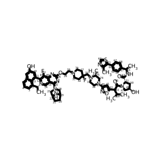 CCc1cccc2cc(O)cc(-c3ncc4c(N5CC6CCC(C5)N6)nc(OCCN5CCC(F)(CN6CCN(c7cc(C(C(=O)N8C[C@H](O)C[C@H]8C(=O)NC(C)c8ccc(-c9scnc9C)cc8)C(C)C)on7)C[C@@H]6C)CC5)nc4c3F)c12